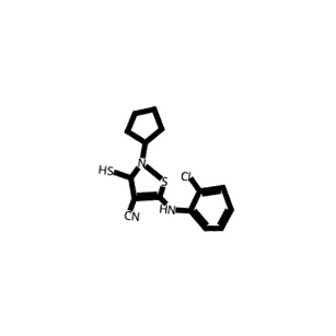 N#CC1=C(Nc2ccccc2Cl)SN(C2CCCC2)C1S